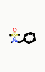 C=S(C)(=O)N(C)Cc1ccccc1